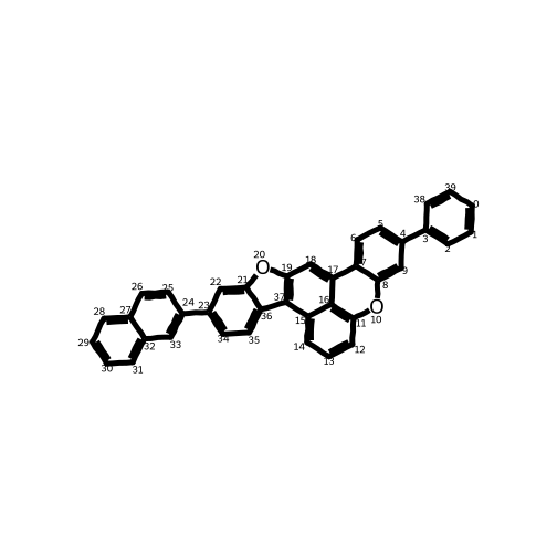 c1ccc(-c2ccc3c(c2)Oc2cccc4c2c-3cc2oc3cc(-c5ccc6ccccc6c5)ccc3c24)cc1